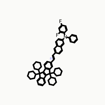 Fc1ccc(N(c2ccccc2)c2ccc3cc(/C=C/c4ccc5c(c4)C(C4CCCCC4)(C4CCCCC4)C4=C5C(C5CCCCC5)(C5CCCCC5)c5ccccc54)ccc3c2)c(F)c1